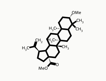 C=C(C)[C@@H]1CC[C@]2(C(=O)OC)CC[C@]3(C)C(CCC4[C@@]5(C)CC[C@H](OC)C(C)(C)C5CC[C@]43C)C12